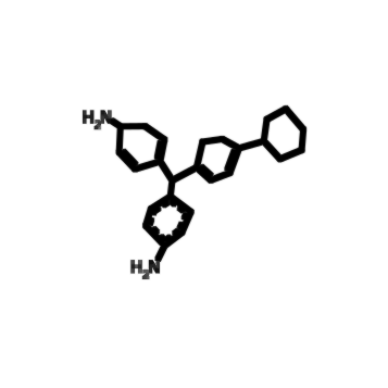 Nc1ccc(C(C2=CCC(N)C=C2)C2=CC=C(C3CCCCC3)CC2)cc1